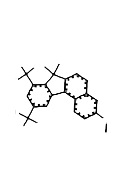 COc1[c]cc2c3c(c[c]c2c1)C(C)(C)c1c-3cc(C(F)(F)F)cc1C(F)(F)F